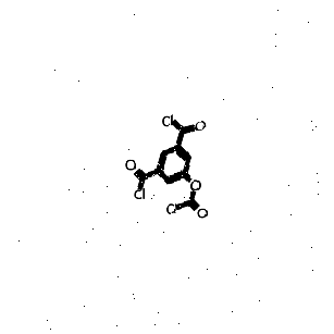 O=C(Cl)Oc1cc(C(=O)Cl)cc(C(=O)Cl)c1